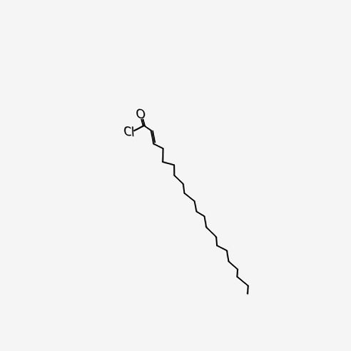 CCCCCCCCCCCCCCCCCC/C=C/C(=O)Cl